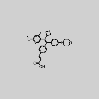 COc1cc(C)c(/C(=C(\c2ccc(/C=C/C(=O)O)cc2)c2ccc(N3CCOCC3)cc2)C2CCC2)cn1